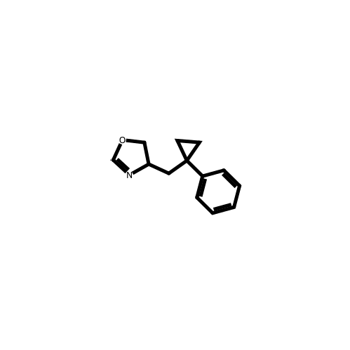 [C]1=NC(CC2(c3ccccc3)CC2)CO1